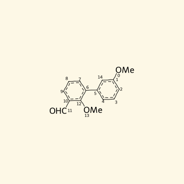 COc1cccc(-c2cccc(C=O)c2OC)c1